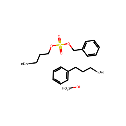 CCCCCCCCCCCCCOS(=O)(=O)OCc1ccccc1.CCCCCCCCCCCCCc1ccccc1.O=S(=O)(O)O